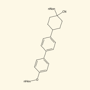 CCCCCCCCCC1(C#N)CCC(c2ccc(-c3ccc(OCCCCCC)cc3)cc2)CC1